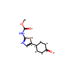 COC(=O)Nc1ncc(C2CCC(=O)CC2)s1